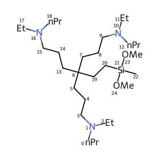 CCCN(CC)CCCC(CCCN(CC)CCC)(CCCN(CC)CCC)CC[Si](C)(OC)OC